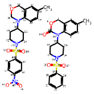 Cc1ccc2c(c1)COC(=O)N2C1CCN(S(=O)(=O)c2ccccc2)CC1.Cc1ccc2c(c1)COCN2C1CCN(S(=O)(=O)c2ccc([N+](=O)[O-])cc2)CC1